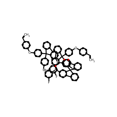 C=Cc1ccc(Oc2ccc(C3(c4ccc(C(C)(C)C)cc4)c4ccccc4-c4ccc(N(c5cccc(F)c5)c5ccc6c(c5)C5(c7ccccc7-6)c6ccccc6-c6ccc(N(c7cccc(F)c7)c7ccc8c(c7)C(c7ccc(Oc9ccc(C=C)cc9)cc7)(c7ccc(C(C)(C)C)cc7)c7ccccc7-8)cc65)cc43)cc2)cc1